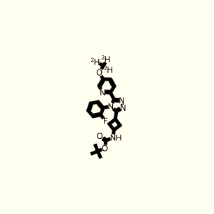 [2H]C([2H])([2H])Oc1ccc(-c2nnc(C3CC(NC(=O)OC(C)(C)C)C3)n2-c2ccccc2F)nc1